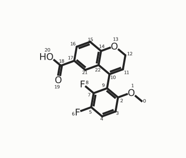 COc1ccc(F)c(F)c1C1=CCOc2ccc(C(=O)O)cc21